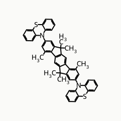 Cc1cc(N2c3ccccc3Sc3ccccc32)cc2c1-c1cc3c(cc1C2(C)C)-c1c(C)cc(N2c4ccccc4Sc4ccccc42)cc1C3(C)C